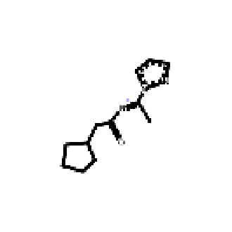 C/C(=N\C(=O)CC1CCCC1)n1cccn1